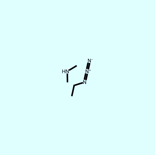 CCN=[N+]=[N-].CNC